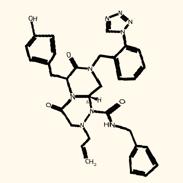 C=CCN1CC(=O)N2C(Cc3ccc(O)cc3)C(=O)N(Cc3ccccc3-n3cnnn3)C[C@@H]2N1C(=O)NCc1ccccc1